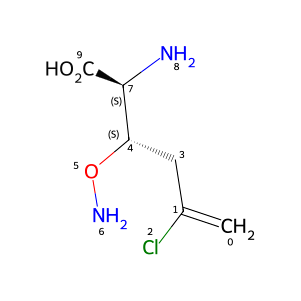 C=C(Cl)C[C@H](ON)[C@H](N)C(=O)O